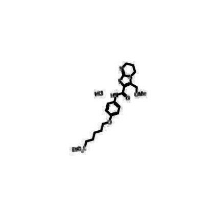 CCOC(=O)CCCCCOc1ccc(NC(=O)C2=C(COC)N3CCCN=C3S2)cc1.Cl